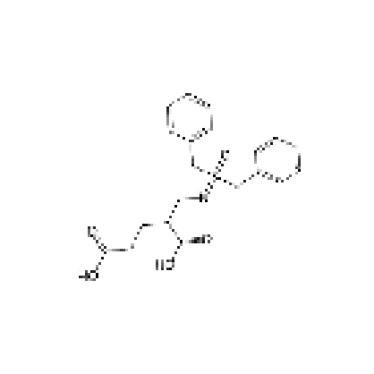 O=C(O)CCC(CN=S(=O)(Cc1ccccc1)Cc1ccccc1)C(=O)O